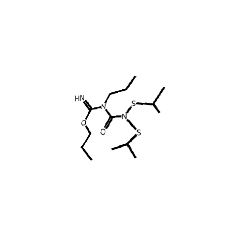 CCCOC(=N)N(CCC)C(=O)N(SC(C)C)SC(C)C